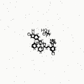 O=C(O)C(F)(F)F.O=C1Cc2cc(-c3cnc([C@H]4[C@@H](c5ccccc5)CCCN4C(=O)/C=C/c4cc(Cl)ccc4-n4cnnn4)[nH]3)ccc2N1